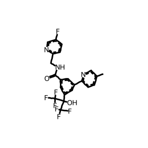 Cc1ccc(-c2cc(C(=O)NCc3ccc(F)cn3)cc(C(O)(C(F)(F)F)C(F)(F)F)c2)nc1